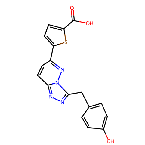 O=C(O)c1ccc(-c2ccc3nnc(Cc4ccc(O)cc4)n3n2)s1